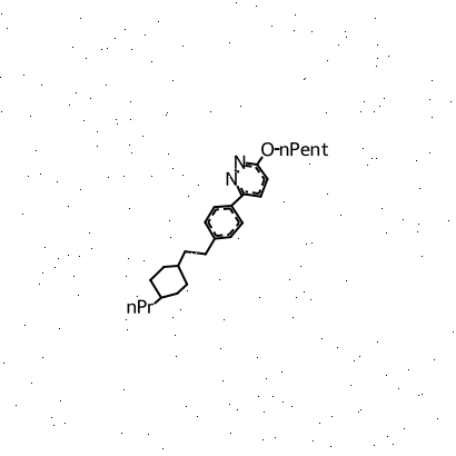 CCCCCOc1ccc(-c2ccc(CCC3CCC(CCC)CC3)cc2)nn1